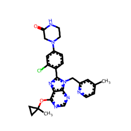 Cc1ccnc(Cn2c(-c3ccc(N4CCNC(=O)C4)cc3Cl)nc3c(OC4(C)CC4)ncnc32)c1